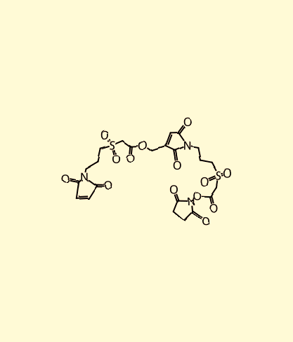 O=C(CS(=O)(=O)CCCN1C(=O)C=CC1=O)OCC1=CC(=O)N(CCCS(=O)(=O)CC(=O)ON2C(=O)CCC2=O)C1=O